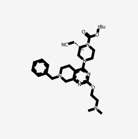 CN(C)CCOc1nc2c(c(N3CCN(C(=O)OC(C)(C)C)[C@@H](CC#N)C3)n1)CCN(Cc1ccccc1)C2